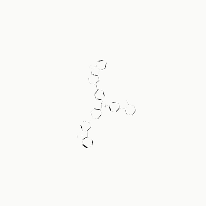 CC1CC=CCC1c1ccc(N(C2=CCC(C3C=c4c(oc5c#cccc45)=CC3)C=C2)c2ccc(C3=CC4=C(CC3)SC3C=CC=CC43)cc2)cc1